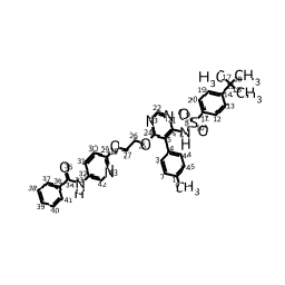 Cc1ccc(-c2c(NS(=O)(=O)c3ccc(C(C)(C)C)cc3)ncnc2OCCOc2ccc(NC(=O)c3ccccc3)cn2)cc1